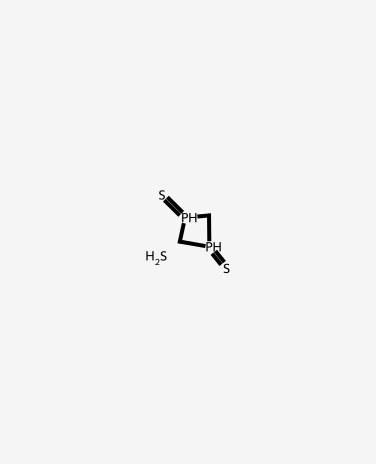 S.S=[PH]1C[PH](=S)C1